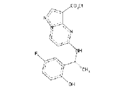 CCOC(=O)c1cnn2ccc(N[C@H](C)c3cc(F)ccc3O)nc12